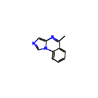 Cc1nc2cncn2c2ccccc12